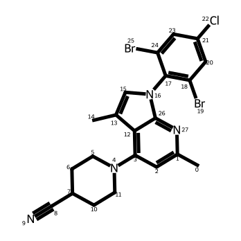 Cc1cc(N2CCC(C#N)CC2)c2c(C)cn(-c3c(Br)cc(Cl)cc3Br)c2n1